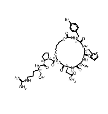 CCc1ccc(C[C@@H]2NC(=O)CCCSC[C@@H](C(=O)N3CCC[C@H]3C(=O)N[C@H](CO)CCCNC(=N)N)NC(=O)[C@H](CC(N)=O)NC(=O)[C@H](C(C)C)NC(=O)[C@H](Cc3cccs3)NC2=O)cc1